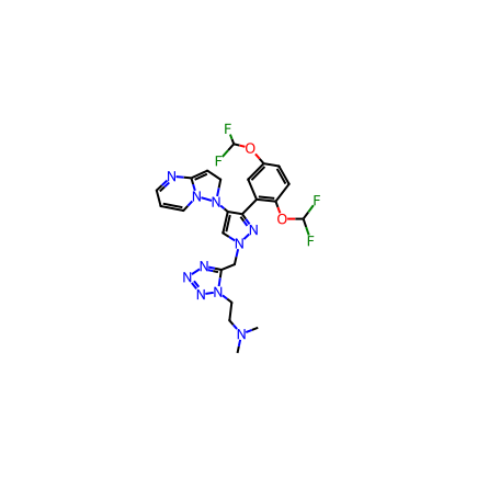 CN(C)CCn1nnnc1Cn1cc(N2CC=C3N=CC=CN32)c(-c2cc(OC(F)F)ccc2OC(F)F)n1